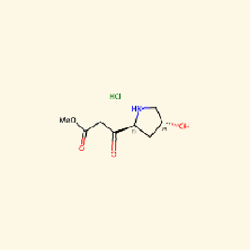 COC(=O)CC(=O)[C@@H]1C[C@@H](O)CN1.Cl